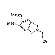 COc1cc2c(cc1OC)CN(CC(C)C)C2